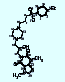 CCc1ccc(S(=O)(=O)CCCN2CCN(CC(O)Cn3c(=O)c4c(ncn4C)n(C)c3=O)CC2)cc1